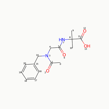 CC(=O)N(CC(=O)NC(C)(C)C(=O)O)Cc1ccccc1